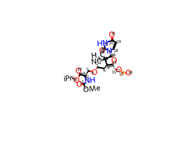 COC(=O)N[C@H](COCC[C@@H]1[C@@H](COP=O)O[C@@H](n2ccc(=O)[nH]c2=O)[C@]1(C)C#N)C(=O)OC(C)C